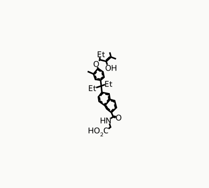 CCC(Oc1ccc(C(CC)(CC)c2ccc3cc(C(=O)NCC(=O)O)ccc3c2)cc1C)C(O)=C(C)C